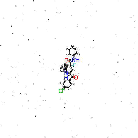 CCCC.O=C(C1=CC(F)(C(=O)Nc2ccccc2)C=CN1)c1ccc(Cl)cc1